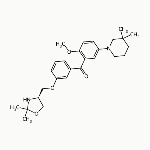 COc1ccc(N2CCCC(C)(C)C2)cc1C(=O)c1cccc(OC[C@H]2COC(C)(C)N2)c1